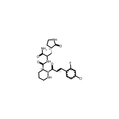 NC(=O)C(C[C@@H]1CCNC1=O)NC(=O)[C@@H]1CCCNN1C(=O)/C=C/c1ccc(Cl)cc1F